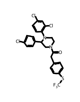 O=C(Cc1ccc(SC(F)(F)F)cc1)N1CCN(c2ccc(Cl)cc2Cl)C(c2ccc(Cl)cc2)C1